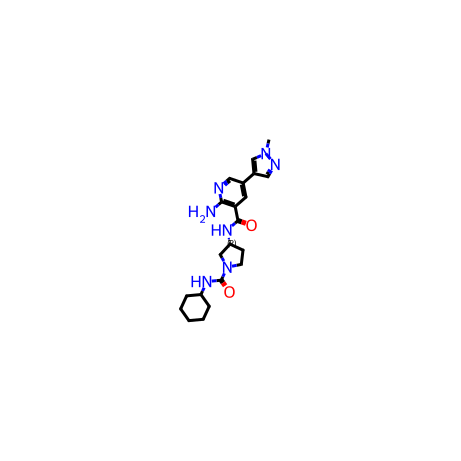 Cn1cc(-c2cnc(N)c(C(=O)N[C@@H]3CCN(C(=O)NC4CCCCC4)C3)c2)cn1